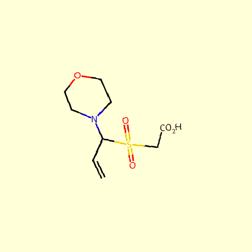 C=CC(N1CCOCC1)S(=O)(=O)CC(=O)O